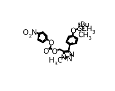 Cn1nnc(-c2ccc(O[Si](C)(C)C(C)(C)C)cc2)c1COC(=O)Oc1ccc([N+](=O)[O-])cc1